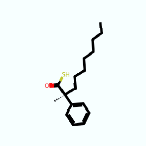 CCCCCCCC[C@](C)(C(=O)S)c1ccccc1